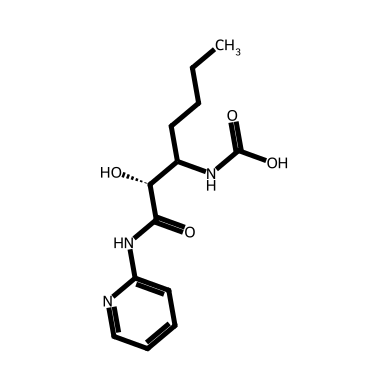 CCCCC(NC(=O)O)[C@@H](O)C(=O)Nc1ccccn1